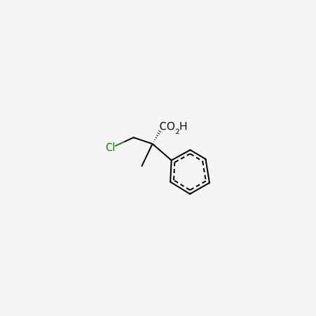 C[C@](CCl)(C(=O)O)c1ccccc1